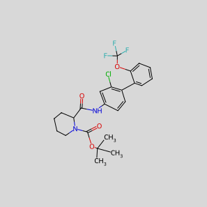 CC(C)(C)OC(=O)N1CCCCC1C(=O)Nc1ccc(-c2ccccc2OC(F)(F)F)c(Cl)c1